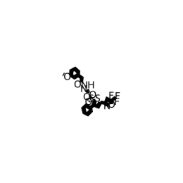 COc1cccc(CC(=O)N/N=C/OS(=O)(=O)c2sc(-c3cc(C(F)(F)F)on3)cc2-c2ccccc2)c1